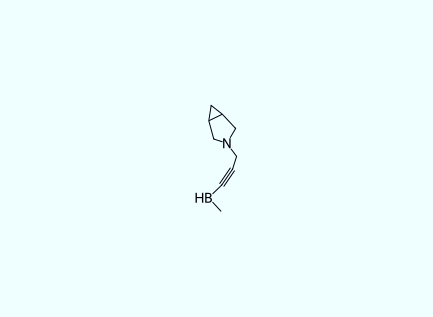 CBC#CCN1CC2CC2C1